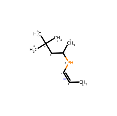 C/C=C\PC(C)CC(C)(C)C